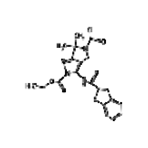 CCOC(=O)n1nc2c(c1NC(=O)c1cc3ccccc3s1)CN(C(=O)Cl)C2(C)C